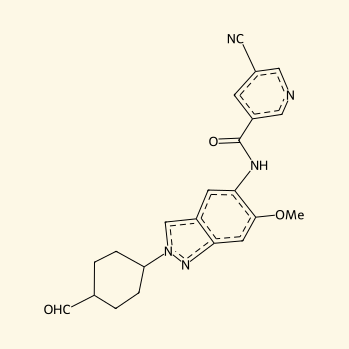 COc1cc2nn(C3CCC(C=O)CC3)cc2cc1NC(=O)c1cncc(C#N)c1